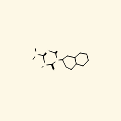 CN(C)c1nc(=O)n(C2CCC3CCCCC3C2)c(=O)n1C